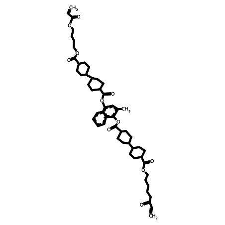 C=CC(=O)CCCCCOC(=O)C1CCC(C2CCC(C(=O)Oc3c(C)cc(OC(=O)C4CCC(C5CCC(C(=O)OCCCCOC(=O)C=C)CC5)CC4)c4ccccc34)CC2)CC1